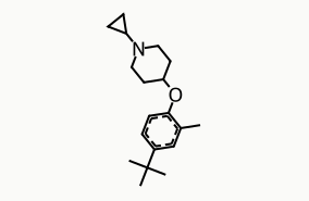 Cc1cc(C(C)(C)C)ccc1OC1CCN(C2CC2)CC1